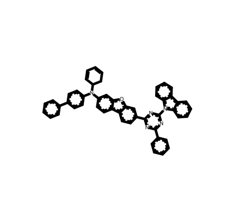 C1=CCC(N(c2ccc(-c3ccccc3)cc2)c2ccc3c(c2)oc2cc(-c4nc(-c5ccccc5)nc(-n5c6ccccc6c6ccccc65)n4)ccc23)C=C1